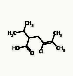 CC(C)=C(Cl)CC(C(=O)O)C(C)C